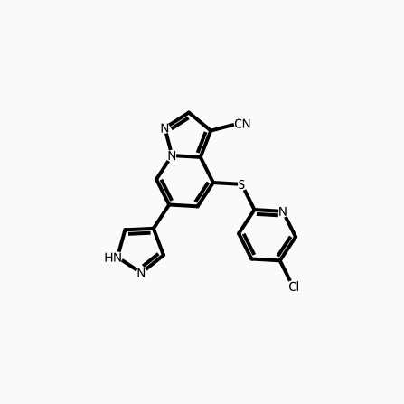 N#Cc1cnn2cc(-c3cn[nH]c3)cc(Sc3ccc(Cl)cn3)c12